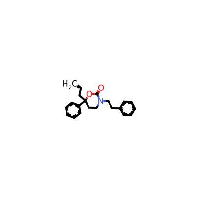 C=CCC1(c2ccccc2)CCN(CCc2ccccc2)C(=O)O1